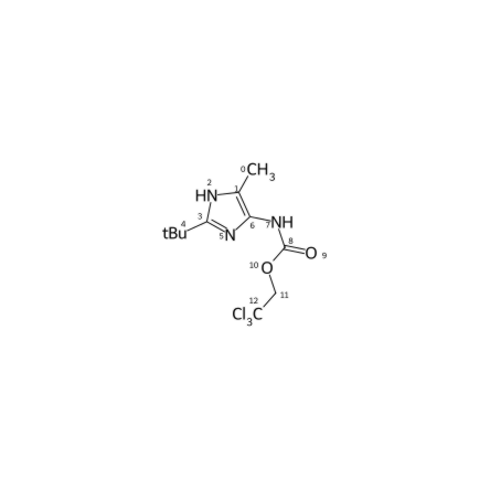 Cc1[nH]c(C(C)(C)C)nc1NC(=O)OCC(Cl)(Cl)Cl